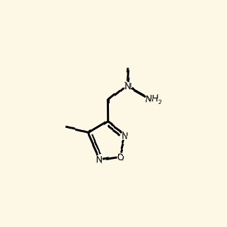 Cc1nonc1CN(C)N